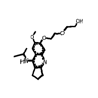 COc1cc2c(NC(C)C)c3c(nc2cc1OCCOCCO)CCC3